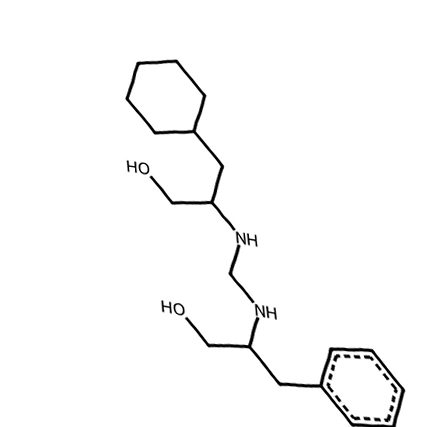 OCC(Cc1ccccc1)NCNC(CO)CC1CCCCC1